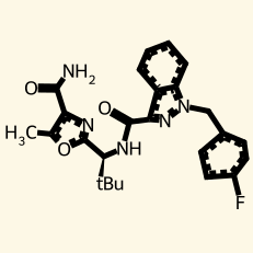 Cc1oc([C@@H](NC(=O)c2nn(Cc3ccc(F)cc3)c3ccccc23)C(C)(C)C)nc1C(N)=O